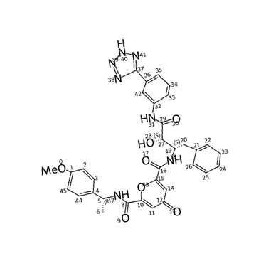 COc1ccc([C@@H](C)NC(=O)c2cc(=O)cc(C(=O)N[C@@H](Cc3ccccc3)[C@H](O)C(=O)Nc3cccc(-c4nn[nH]n4)c3)o2)cc1